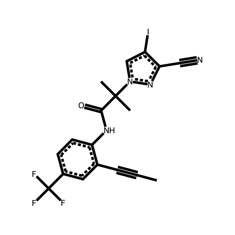 CC#Cc1cc(C(F)(F)F)ccc1NC(=O)C(C)(C)n1cc(I)c(C#N)n1